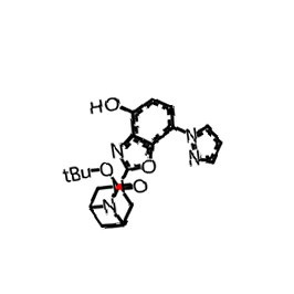 CC(C)(C)OC(=O)N1C2CC1CN(c1nc3c(O)ccc(-n4cccn4)c3o1)C2